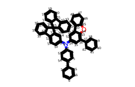 c1ccc(-c2ccc(N(c3ccc4c(c3)C3(c5ccccc5-c5ccccc53)c3ccccc3-4)c3cc(-c4ccccc4)c4oc5ccccc5c4c3)cc2)cc1